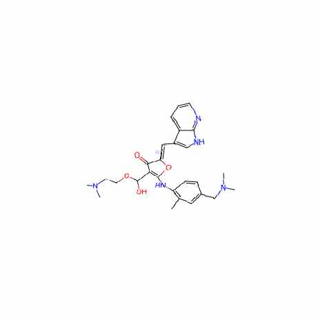 Cc1cc(CN(C)C)ccc1NC1=C(C(O)OCCN(C)C)C(=O)/C(=C/c2c[nH]c3ncccc23)O1